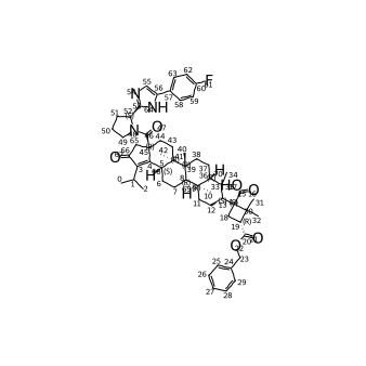 CC(C)C1=C2[C@H]3CC[C@@H]4[C@]5(C)CC[C@H]([C@@]6(C(=O)O)C[C@@H](C(=O)OCc7ccccc7)C6(C)C)C(C)(C)[C@H]5CC[C@@]4(C)[C@]3(C)CC[C@@]2(C(=O)N2CCC[C@H]2c2ncc(-c3ccc(F)cc3)[nH]2)CC1=O